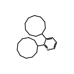 c1cnc(C2CCCCCCCCC2)c(C2CCCCCCCCC2)c1